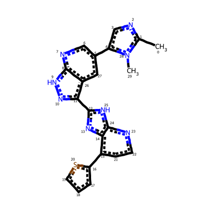 Cc1ncc(-c2cnc3[nH]nc(-c4nc5c(-c6cccs6)ccnc5[nH]4)c3c2)n1C